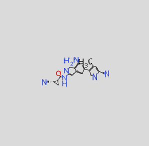 Cc1cc(C#N)ncc1-c1cc(N)c2cnc(NC(=O)[C@H]3C[C@@H]3C#N)cc2c1